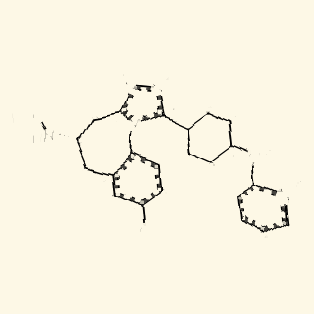 CN[C@H]1Cc2cc(Cl)ccc2-n2c(nnc2C2CCC(Oc3ccccn3)CC2)C1